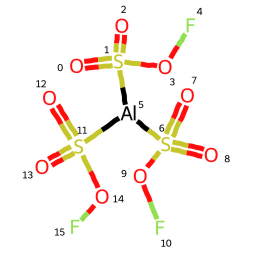 O=[S](=O)(OF)[Al]([S](=O)(=O)OF)[S](=O)(=O)OF